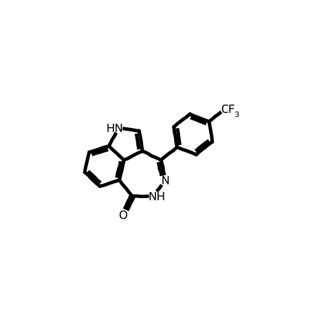 O=C1NN=C(c2ccc(C(F)(F)F)cc2)c2c[nH]c3cccc1c23